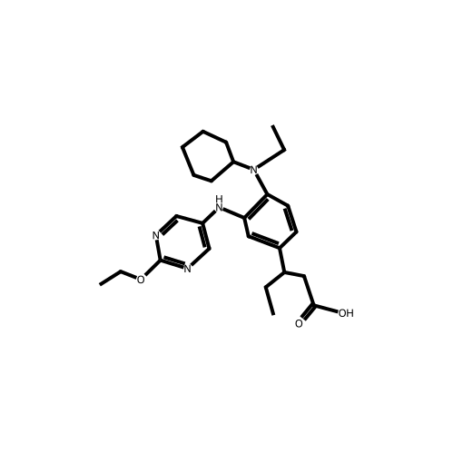 CCOc1ncc(Nc2cc(C(CC)CC(=O)O)ccc2N(CC)C2CCCCC2)cn1